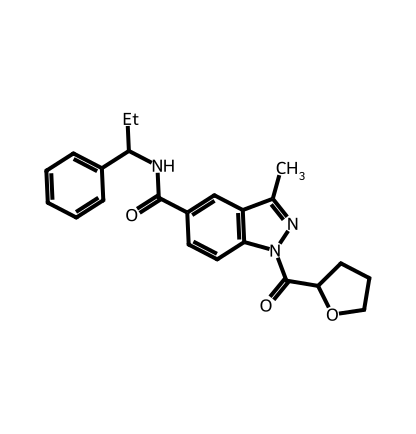 CCC(NC(=O)c1ccc2c(c1)c(C)nn2C(=O)C1CCCO1)c1ccccc1